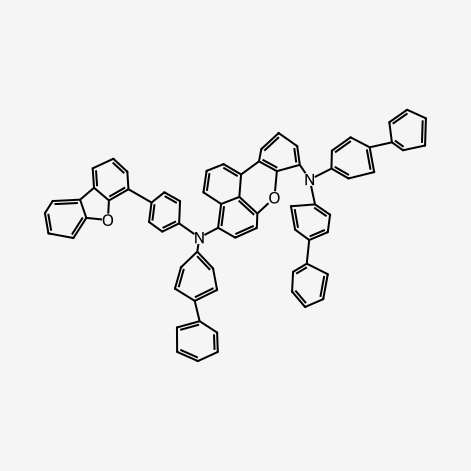 c1ccc(-c2ccc(N(c3ccc(-c4ccccc4)cc3)c3cccc4c3Oc3ccc(N(c5ccc(-c6ccccc6)cc5)c5ccc(-c6cccc7c6oc6ccccc67)cc5)c5cccc-4c35)cc2)cc1